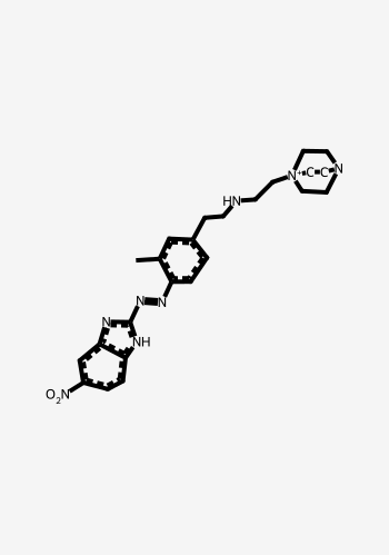 Cc1cc(CCNCC[N+]23CCN(CC2)CC3)ccc1N=Nc1nc2cc([N+](=O)[O-])ccc2[nH]1